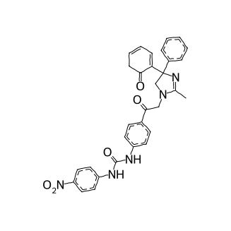 CC1=NC(C2=CC=CCC2=O)(c2ccccc2)CN1CC(=O)c1ccc(NC(=O)Nc2ccc([N+](=O)[O-])cc2)cc1